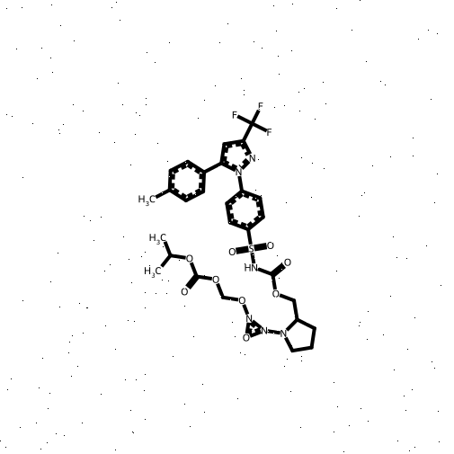 Cc1ccc(-c2cc(C(F)(F)F)nn2-c2ccc(S(=O)(=O)NC(=O)OCC3CCCN3n3on3OCOC(=O)OC(C)C)cc2)cc1